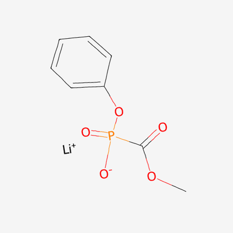 COC(=O)P(=O)([O-])Oc1ccccc1.[Li+]